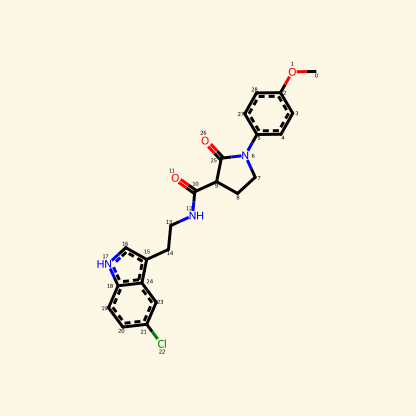 COc1ccc(N2CCC(C(=O)NCCc3c[nH]c4ccc(Cl)cc34)C2=O)cc1